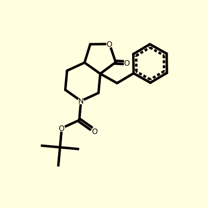 CC(C)(C)OC(=O)N1CCC2COC(=O)C2(Cc2ccccc2)C1